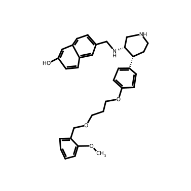 COc1ccccc1COCCCOc1ccc([C@H]2CCNC[C@H]2NCc2ccc3cc(O)ccc3c2)cc1